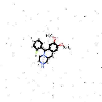 COc1cc2c(cc1OC)C(c1ccccc1F)N1CCNCC1C2